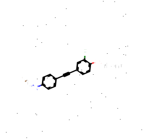 CCCCCOc1ccc(C#Cc2ccc(N=C=S)cc2)cc1F